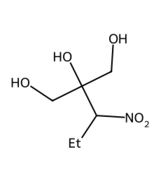 CCC([N+](=O)[O-])C(O)(CO)CO